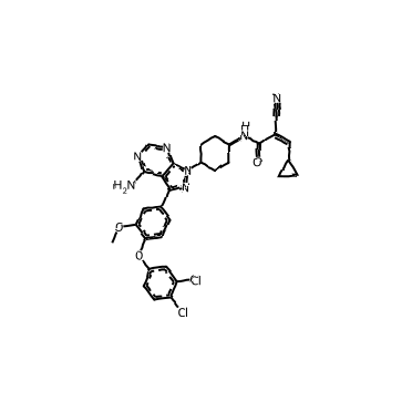 COc1cc(-c2nn(C3CCC(NC(=O)/C(C#N)=C\C4CC4)CC3)c3ncnc(N)c23)ccc1Oc1ccc(Cl)c(Cl)c1